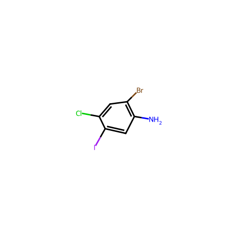 Nc1cc(I)c(Cl)cc1Br